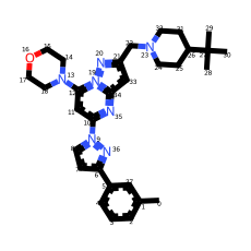 Cc1cccc(-c2ccn(-c3cc(N4CCOCC4)n4nc(CN5CCC(C(C)(C)C)CC5)cc4n3)n2)c1